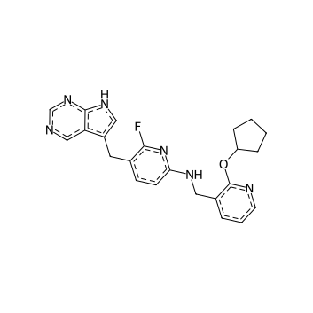 Fc1nc(NCc2cccnc2OC2CCCC2)ccc1Cc1c[nH]c2ncncc12